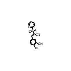 N#C/C(=C\c1ccc(O)c(O)c1)S(=O)(=O)c1ccccn1